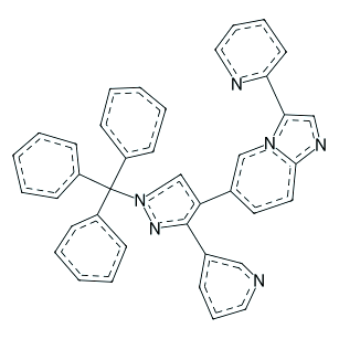 c1ccc(C(c2ccccc2)(c2ccccc2)n2cc(-c3ccc4ncc(-c5ccccn5)n4c3)c(-c3cccnc3)n2)cc1